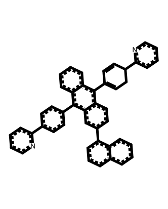 C1=CC(c2ccccn2)CC=C1c1c2ccccc2c(-c2ccc(-c3ccccn3)cc2)c2cc(-c3cccc4ccccc34)ccc12